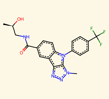 C[C@@H](O)CNC(=O)c1ccc2c(c1)c1nnn(C)c1n2-c1ccc(C(F)(F)F)cc1